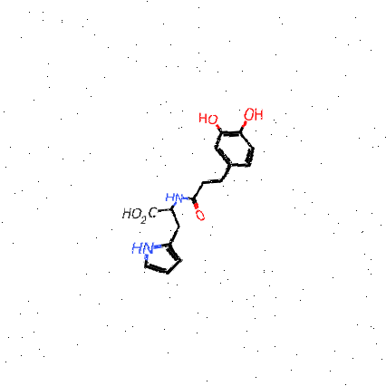 O=C(CCc1ccc(O)c(O)c1)NC(Cc1ccc[nH]1)C(=O)O